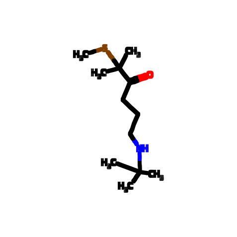 CSC(C)(C)C(=O)CCCNC(C)(C)C